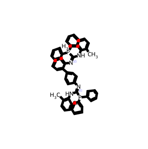 Cc1cccc(C)c1N/C(=N/c1ccccc1-c1ccc(/N=C(\Nc2c(C)cccc2C)P(c2ccccc2)c2ccccc2)cc1)P(c1ccccc1)c1ccccc1